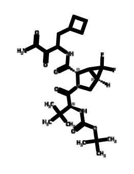 CC(C)(C)OC(=O)N[C@H](C(=O)N1C[C@H]2C([C@H]1C(=O)NC(CC1CCC1)C(=O)C(N)=O)C2(F)F)C(C)(C)C